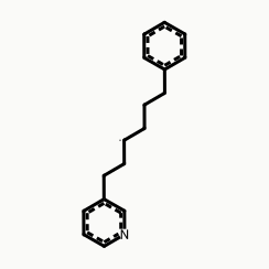 [CH](CCCc1ccccc1)CCc1cccnc1